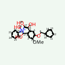 COc1cc2c(cc1OCc1ccccc1)C(O)=C(O)[N+](O)(c1ccccc1)C2O